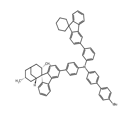 C[C@@H]1CC2C[C@@H](C1)[C@@]1(c3ccccc3-c3cc(-c4ccc(N(c5ccc(-c6ccc(C(C)(C)C)cc6)cc5)c5cccc(-c6ccc7c(c6)-c6ccccc6C76CCCCC6)c5)cc4)ccc31)[C@@H](C)C2